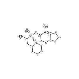 NC(CC1CCCCC1)P(=O)(O)CC(CCC1CCCC1)C(=O)O